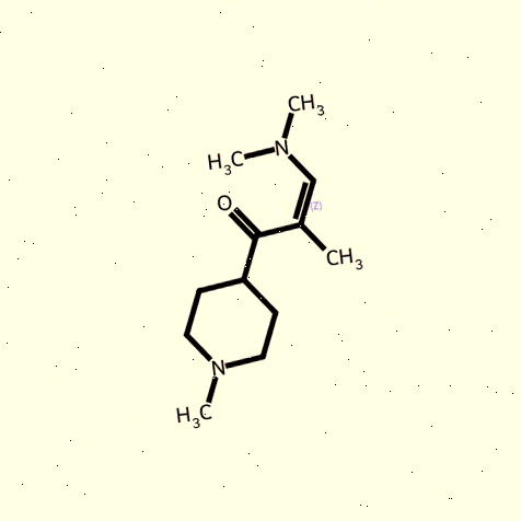 C/C(=C/N(C)C)C(=O)C1CCN(C)CC1